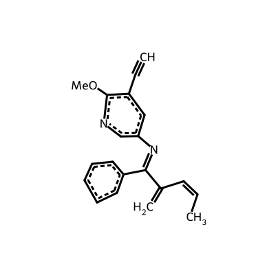 C#Cc1cc(/N=C(/C(=C)/C=C\C)c2ccccc2)cnc1OC